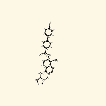 CC1=NCCN1Cc1cnc2c(C)c(NC(=O)c3ccc(-c4ccc(F)cc4)cc3)ccc2c1